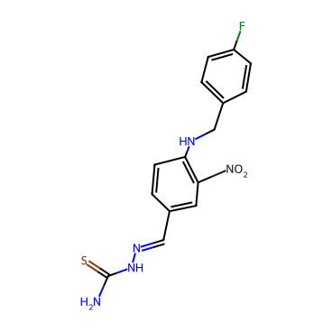 NC(=S)NN=Cc1ccc(NCc2ccc(F)cc2)c([N+](=O)[O-])c1